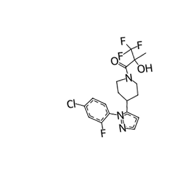 CC(O)(C(=O)N1CCC(c2ccnn2-c2ccc(Cl)cc2F)CC1)C(F)(F)F